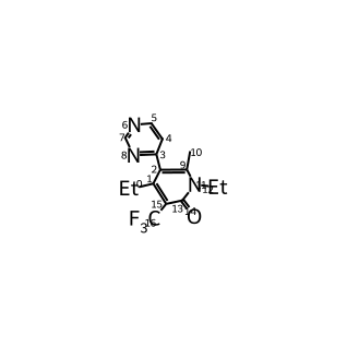 CCc1c(-c2ccncn2)c(C)n(CC)c(=O)c1C(F)(F)F